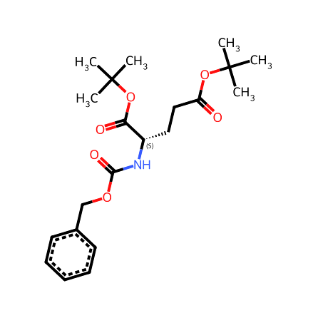 CC(C)(C)OC(=O)CC[C@H](NC(=O)OCc1ccccc1)C(=O)OC(C)(C)C